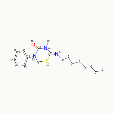 CCCCCCCC/N=C1\SCN(c2ccccc2)C(=O)N1C